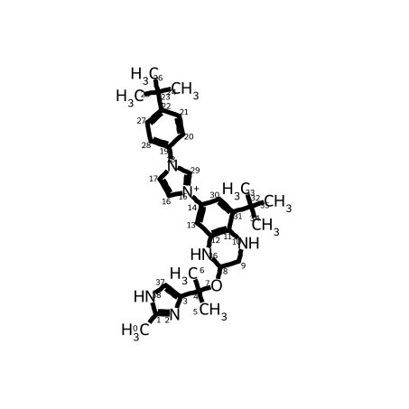 Cc1nc(C(C)(C)OC2CNc3c(cc(-[n+]4ccn(-c5ccc(C(C)(C)C)cc5)c4)cc3C(C)(C)C)N2)c[nH]1